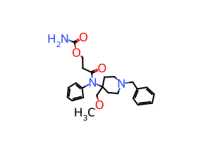 COCC1(N(C(=O)CCOC(N)=O)c2ccccc2)CCN(Cc2ccccc2)CC1